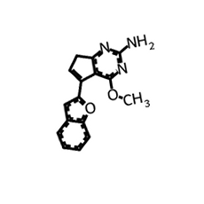 COc1nc(N)nc2c1C(c1cc3ccccc3o1)=CC2